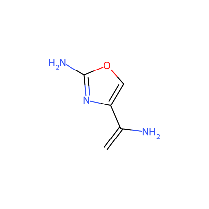 C=C(N)c1coc(N)n1